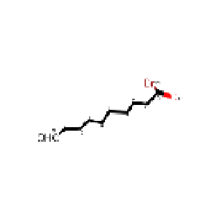 O=CCCCCCCCCC(=O)Br